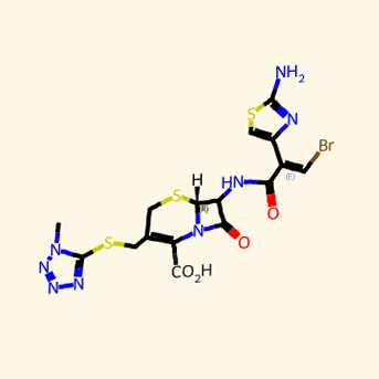 Cn1nnnc1SCC1=C(C(=O)O)N2C(=O)C(NC(=O)/C(=C/Br)c3csc(N)n3)[C@H]2SC1